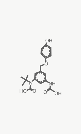 CC(C)(C)N(C(=O)O)c1cc(COc2ccc(O)cc2)cc(NC(=O)O)c1